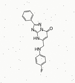 O=c1cc(CNc2ccc(F)cc2)[nH]c2nc(-c3ccccc3)nn12